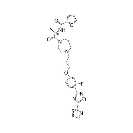 C[C@@H](NC(=O)c1ccco1)C(=O)N1CCCN(CCCOc2ccc(-c3noc(-c4nccs4)n3)c(F)c2)CC1